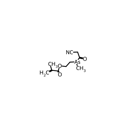 C=C(C)C(=O)OCC[As](C)C(=O)CC#N